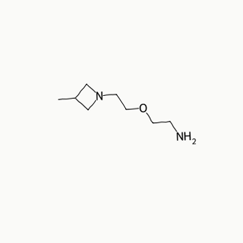 CC1CN(CCOCCN)C1